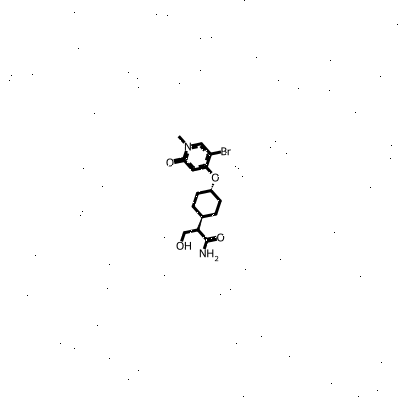 Cn1cc(Br)c(O[C@H]2CC[C@H](C(CO)C(N)=O)CC2)cc1=O